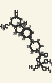 C[C@@H]1CNC[C@@H]2c3ccc(N4CCN(C(=O)OC(C)(C)C)CC4)cc3CN12